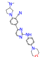 CN(C)C1CCN(c2ccc(-c3ccnc(Nc4ccc(N5CCOCC5)cc4)n3)cc2C#N)C1